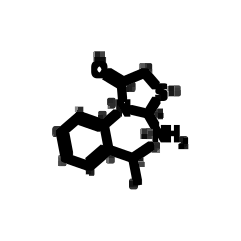 CC(C)c1ccccc1N1C(=O)CSC1N